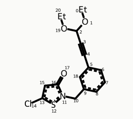 CCOC(C#Cc1cccc(Cn2sc(Cl)cc2=O)c1)OCC